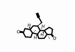 C#CC[C@@H]1C[C@H]2CC(=O)CC[C@]2(C)[C@H]2CC[C@]3(C)C(=O)CC[C@H]3[C@H]12